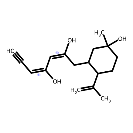 C#C/C=C(O)\C=C(\O)CC1CC(C)(O)CCC1C(=C)C